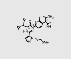 CSCCCn1nccc1C(=O)N[C@H](C(=O)Nc1ccc(/C(C(C)=N)=C(\C)N)c(F)n1)C(C1CC1)C1CC1